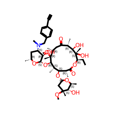 C#Cc1ccc(CN(C)[C@H]2C[C@@H](C)O[C@@H](O[C@@H]3[C@@H](C)[C@H](O[C@H]4C[C@@](C)(OC)[C@@H](O)[C@H](C)O4)[C@@H](C)C(=O)O[C@H](CC)[C@@](C)(O)[C@H](O)[C@@H](C)C(=O)C[C@@H](C)[C@@]3(C)OC)[C@@H]2O)cc1